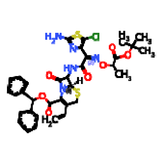 C=CC1=C(C(=O)OC(c2ccccc2)c2ccccc2)N2C(=O)C(NC(=O)/C(=N\OC(C)C(=O)OC(C)(C)C)c3nc(N)sc3Cl)[C@H]2SC1